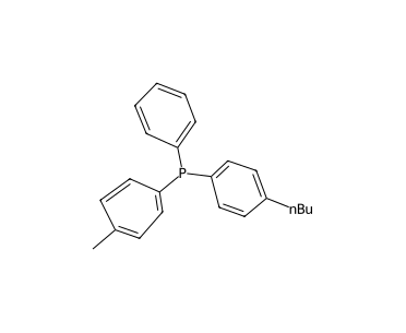 CCCCc1ccc(P(c2ccccc2)c2ccc(C)cc2)cc1